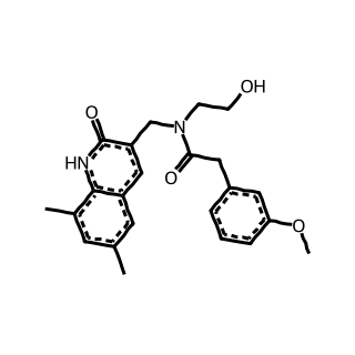 COc1cccc(CC(=O)N(CCO)Cc2cc3cc(C)cc(C)c3[nH]c2=O)c1